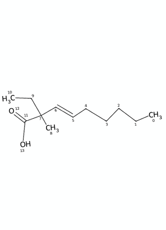 CCCCCC=CC(C)(CC)C(=O)O